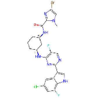 Cn1cc(Br)nc1C(=O)N[C@@H]1CCC[C@H](Nc2nc(-c3c[nH]c4c(F)cc(Cl)cc34)ncc2F)C1